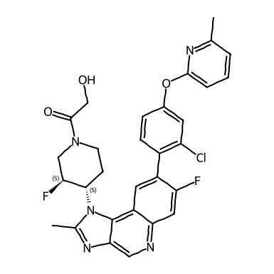 Cc1cccc(Oc2ccc(-c3cc4c(cc3F)ncc3nc(C)n([C@H]5CCN(C(=O)CO)C[C@@H]5F)c34)c(Cl)c2)n1